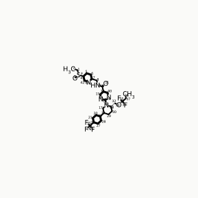 CC[S+]([O-])c1ccc(CNC(=O)c2cnc(N3CC(c4ccc(C(F)(F)F)cc4)CC[C@H]3COC(F)(F)CC)nc2)nc1